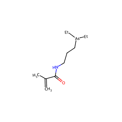 C=C(C)C(=O)NCCC[As](CC)CC